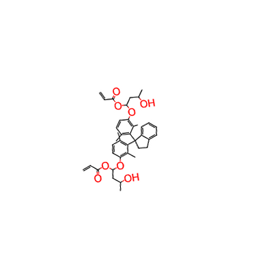 C=CC(=O)OC(CC(C)O)Oc1ccc(C)c(C2(c3c(C)ccc(OC(CC(C)O)OC(=O)C=C)c3C)CCc3ccccc32)c1C